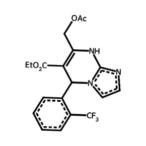 CCOC(=O)C1=C(COC(C)=O)Nc2nccn2C1c1ccccc1C(F)(F)F